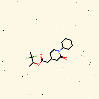 CC(OC(=O)CC1CCN(C2CCCCC2)C(=O)C1)C(C)(F)F